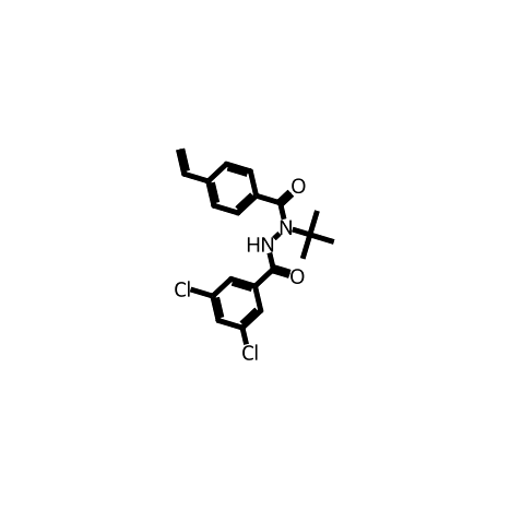 C=Cc1ccc(C(=O)N(NC(=O)c2cc(Cl)cc(Cl)c2)C(C)(C)C)cc1